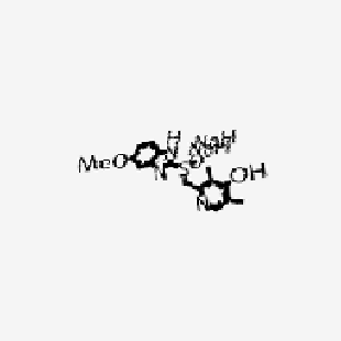 COc1ccc2[nH]c([S+]([O-])Cc3ncc(C)c(O)c3C)nc2c1.[NaH].[NaH]